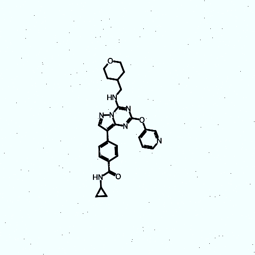 O=C(NC1CC1)c1ccc(-c2cnn3c(NCC4CCOCC4)nc(Oc4cccnc4)nc23)cc1